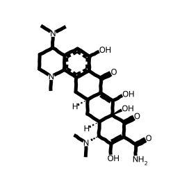 CN1CCC(N(C)C)c2cc(O)c3c(c21)C[C@@H]1C[C@@H]2[C@@H](N(C)C)C(O)=C(C(N)=O)C(=O)[C@@]2(O)C(O)=C1C3=O